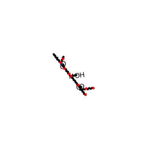 CCCCCCCCC(=CC(=O)OCCCCCCCCN(CCCO)CCCCCCCCOC(=O)/C=C(\CCCCC)CCCCCCCC)CCCCC